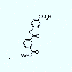 COC(=O)c1cccc(C(=O)Oc2ccc(C(=O)O)cc2)c1